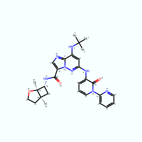 [2H]C([2H])([2H])Nc1cc(Nc2cccn(-c3ccccn3)c2=O)nn2c(C(=O)N[C@@H]3C[C@H]4CCO[C@H]43)cnc12